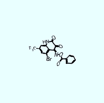 O=C1Nc2cc(C(F)(F)F)cc(Br)c2C(=NOC(=O)c2ccccc2)C1=O